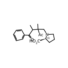 CC(=O)C(C)(CN1CCC[C@H]1C(=O)O)C(C)C(=O)c1ccccc1